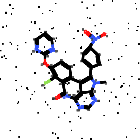 Cn1c(-c2ccc([N+](=O)[O-])cc2)c(-c2ccc(Oc3ncccn3)c(F)c2C=O)c2c(N)ncnc21